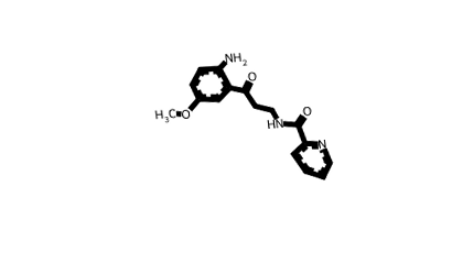 COc1ccc(N)c(C(=O)CCNC(=O)c2ccccn2)c1